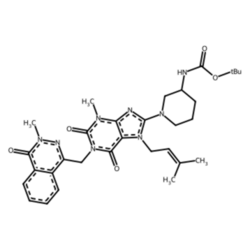 CC(C)=CCn1c(N2CCCC(NC(=O)OC(C)(C)C)C2)nc2c1c(=O)n(Cc1nn(C)c(=O)c3ccccc13)c(=O)n2C